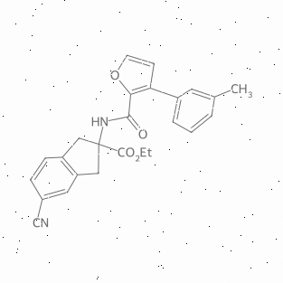 CCOC(=O)C1(NC(=O)c2occc2-c2cccc(C)c2)Cc2ccc(C#N)cc2C1